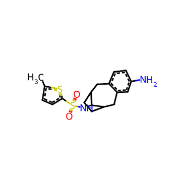 Cc1ccc(S(=O)(=O)NC2C3CCC2Cc2cc(N)ccc2C3)s1